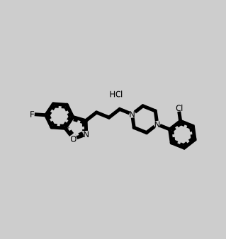 Cl.Fc1ccc2c(CCCN3CCN(c4ccccc4Cl)CC3)noc2c1